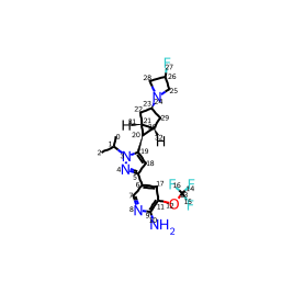 CC(C)n1nc(-c2cnc(N)c(OC(F)(F)F)c2)cc1[C@H]1[C@@H]2C[C@@H](N3CC(F)C3)C[C@@H]21